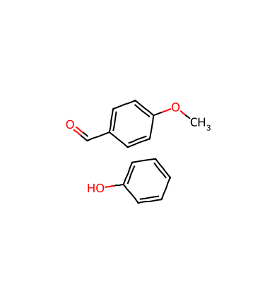 COc1ccc(C=O)cc1.Oc1ccccc1